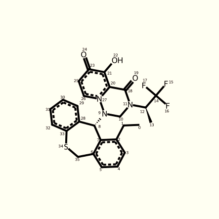 CCc1cccc2c1[C@@H](N1CN([C@H](C)C(F)(F)F)C(=O)c3c(O)c(=O)ccn31)c1ccccc1SC2